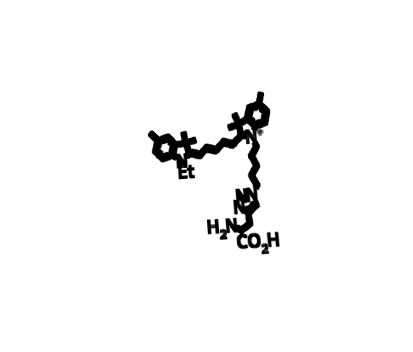 CCN1/C(=C/C=C/C=C/C2=[N+](CCCCCn3cc(C[C@@H](N)C(=O)O)nn3)c3ccc(C)cc3C2(C)C)C(C)(C)c2cc(C)ccc21